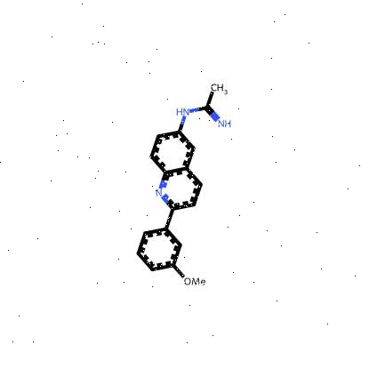 COc1cccc(-c2ccc3cc(NC(C)=N)ccc3n2)c1